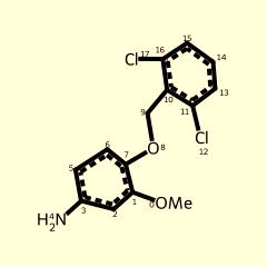 COc1cc(N)ccc1OCc1c(Cl)cccc1Cl